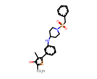 CCOC(=O)c1sc(-c2cccc(NC3CCN(S(=O)(=O)Cc4ccccc4)CC3)c2)c(C)c1[O]